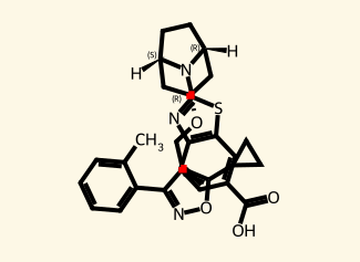 Cc1ccccc1-c1noc(C2CC2)c1CO[C@H]1C[C@H]2CC[C@@H](C1)N2c1nc2ccc(C(=O)O)cc2s1